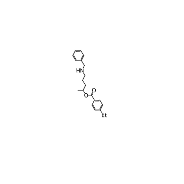 CCc1ccc(C(=O)OC(C)CCCNCc2ccccc2)cc1